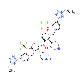 CCn1nnc(-c2ccc(Cc3c(OC(F)(F)F)ccc(C(=O)c4ccc(OC(F)(F)F)c(Cc5ccc(-c6nnn(CC)n6)cc5)c4C4CCNCC4)c3C3CCNCC3)cc2)n1